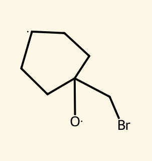 [O]C1(CBr)CC[CH]CC1